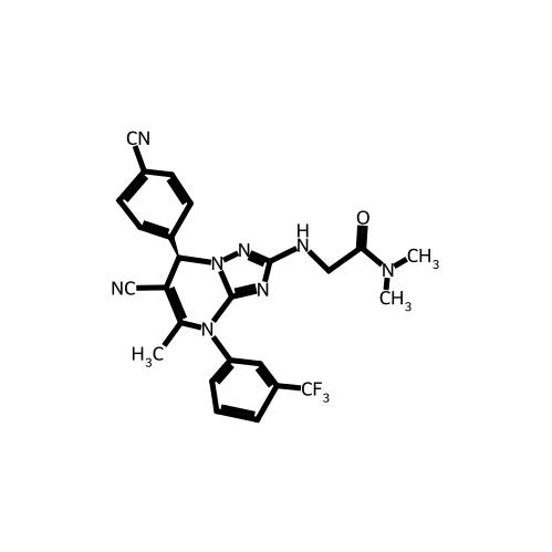 CC1=C(C#N)[C@@H](c2ccc(C#N)cc2)n2nc(NCC(=O)N(C)C)nc2N1c1cccc(C(F)(F)F)c1